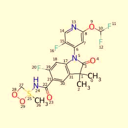 CC1(C)C(=O)N(c2cc(OC(F)F)ncc2F)c2cc(F)c(C(=O)NS3(C)COO3)cc21